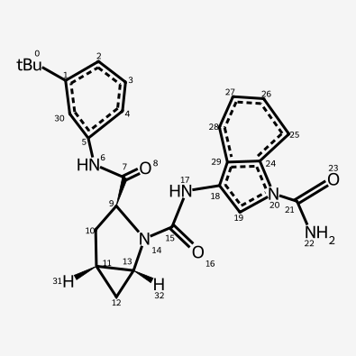 CC(C)(C)c1cccc(NC(=O)[C@@H]2C[C@H]3C[C@H]3N2C(=O)Nc2cn(C(N)=O)c3ccccc23)c1